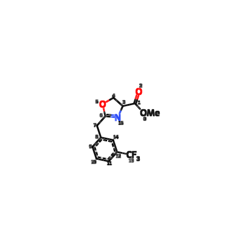 COC(=O)C1COC(Cc2cccc(C(F)(F)F)c2)=N1